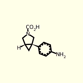 Nc1ccc([C@@]23C[C@@H]2CN(C(=O)O)C3)cc1